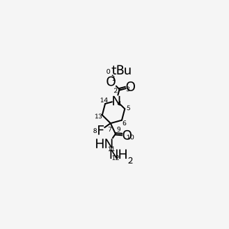 CC(C)(C)OC(=O)N1CCC(F)(C(=O)NN)CC1